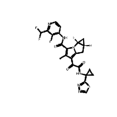 Cc1c(C(=O)C(=O)NC2(c3nncs3)CC2)c2n(c1C(=O)Nc1ccnc(C(F)F)c1F)[C@@H]1C[C@@H]1C2